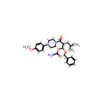 COc1ccc(N2CCN(C(=O)[C@@H](CC(C)C)C(OCc3ccccc3)OC(N)=O)CC2)cc1